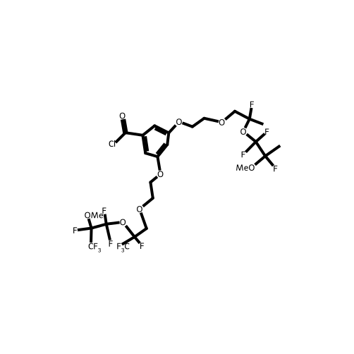 COC(C)(F)C(F)(F)OC(C)(F)COCCOc1cc(OCCOCC(F)(OC(F)(F)C(F)(OC)C(F)(F)F)C(F)(F)F)cc(C(=O)Cl)c1